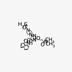 C=CC(=O)N1CCN(c2nc(OCCC(=O)N(C)C)nc3c2CCN(c2cccc4cccc(C)c24)C3)CC1